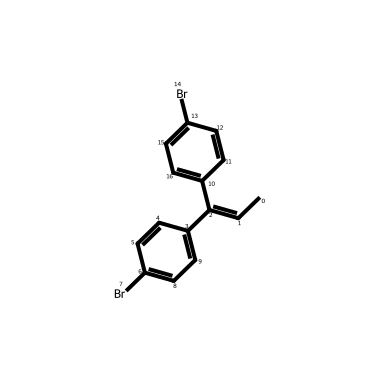 CC=C(c1ccc(Br)cc1)c1ccc(Br)cc1